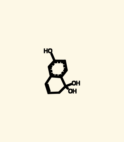 Oc1ccc2c(c1)C=CCC2(O)O